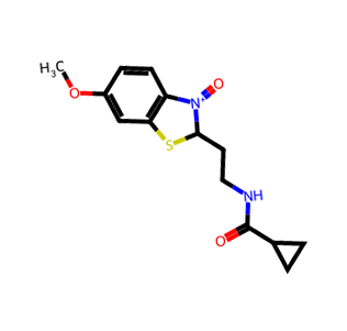 COc1ccc2c(c1)SC(CCNC(=O)C1CC1)[N+]2=O